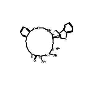 CCC[C@@H]1NC(O)[C@@H](C(C)C)NC(=O)[C@@H](Cc2csc3ccccc23)NCCOc2ccccc2CCCNC1=O